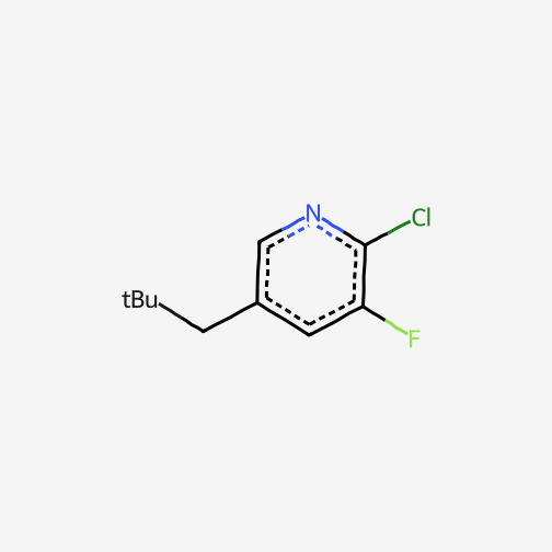 CC(C)(C)Cc1cnc(Cl)c(F)c1